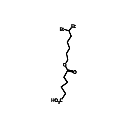 CCC(CC)CCCCCOC(=O)CCCCC(=O)O